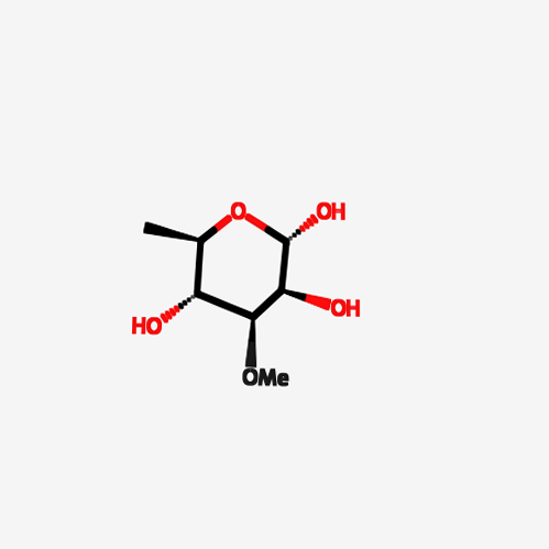 CO[C@H]1[C@H](O)[C@@H](C)O[C@H](O)[C@H]1O